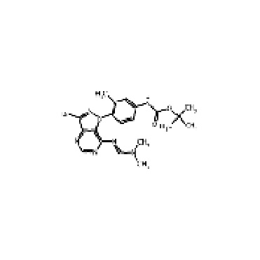 Cc1cc(NC(=O)OC(C)(C)C)ccc1-n1nc(Br)c2ncnc(/N=C/N(C)C)c21